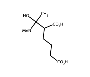 CNC(C)(O)C(CCCC(=O)O)C(=O)O